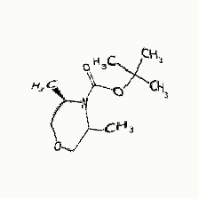 CC1COC[C@@H](C)N1C(=O)OC(C)(C)C